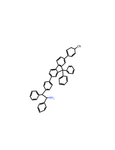 N#CC1C=CC(c2ccc3c(c2)C(c2ccccc2)(c2ccccc2)c2cc(-c4ccc(C(c5ccccc5)C(N)c5ccccc5)cc4)ccc2-3)=CC1